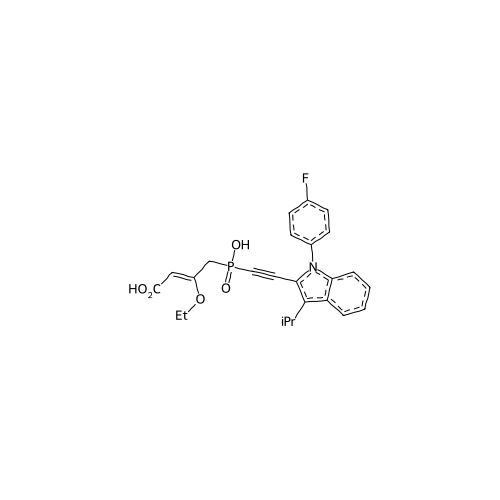 CCOC(=CC(=O)O)CP(=O)(O)C#Cc1c(C(C)C)c2ccccc2n1-c1ccc(F)cc1